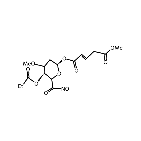 CCC(=O)O[C@H]1C(OC)C[C@@H](OC(=O)/C=C/CC(=O)OC)OC1C(=O)N=O